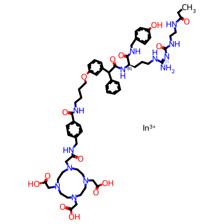 CCC(=O)NCCNC(=O)/N=C(/N)NCCC[C@@H](NC(=O)C(c1ccccc1)c1cccc(OCCCCNC(=O)c2ccc(CNC(=O)CN3CCN(CC(=O)O)CCN(CC(=O)O)CCN(CC(=O)O)CC3)cc2)c1)C(=O)NCc1ccc(O)cc1.[In+3]